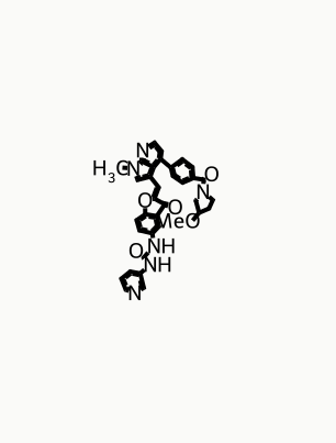 COC1CCN(C(=O)c2ccc(-c3ccnc4c3c(/C=C3\Oc5ccc(NC(=O)Nc6cccnc6)cc5C3=O)cn4C)cc2)C1